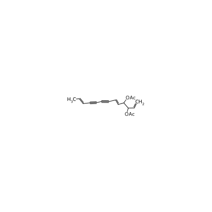 C=CC(OC(C)=O)C(C=CC#CC#CC=CC)OC(C)=O